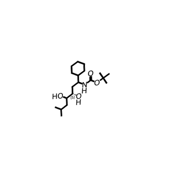 CC(C)CC(O)[C@@H](O)CC(NC(=O)OC(C)(C)C)C1CCCCC1